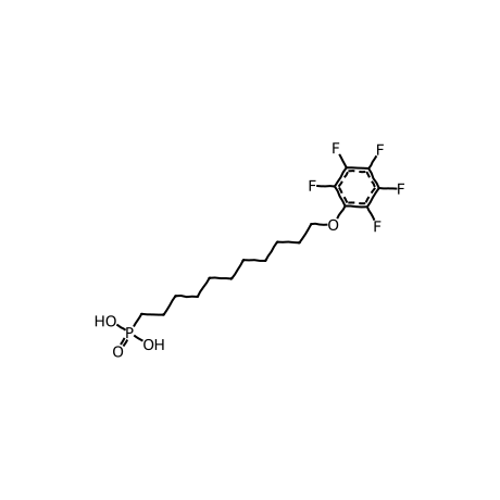 O=P(O)(O)CCCCCCCCCCCOc1c(F)c(F)c(F)c(F)c1F